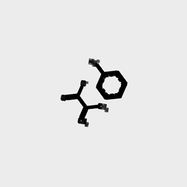 C=C(C)C(=O)[O-].[Hg+][c]1ccccc1